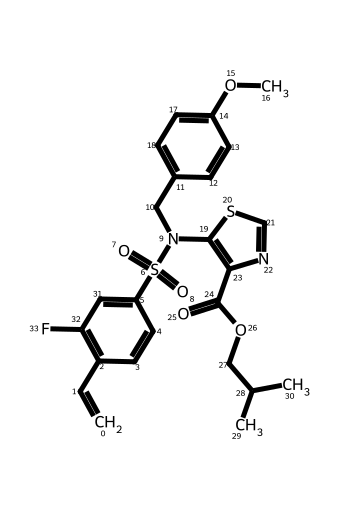 C=Cc1ccc(S(=O)(=O)N(Cc2ccc(OC)cc2)c2scnc2C(=O)OCC(C)C)cc1F